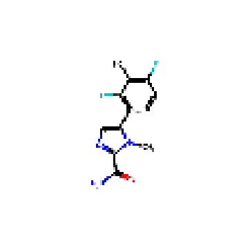 Cn1c(-c2ccc(F)c(C#N)c2F)cnc1C(N)=O